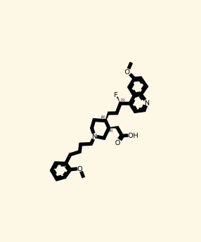 COc1ccc2nccc([C@@H](F)CC[C@@H]3CCN(CCCCc4ccccc4OC)C[C@@H]3CC(=O)O)c2c1